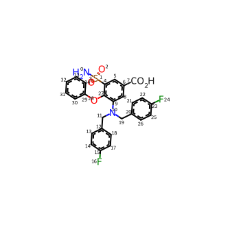 NS(=O)(=O)c1cc(C(=O)O)cc(N(Cc2ccc(F)cc2)Cc2ccc(F)cc2)c1Oc1ccccc1